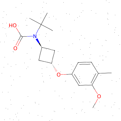 COc1cc(O[C@H]2C[C@H](N(C(=O)O)C(C)(C)C)C2)ccc1C